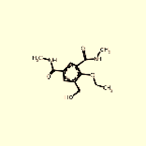 CCOc1c(CO)cc(C(=O)NC)cc1C(=O)NC